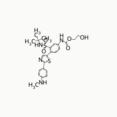 CNc1ccc(-c2ncc(-c3ccc(NC(=O)OCCO)cc3S(=O)(=O)NC(C)(C)C)s2)cc1